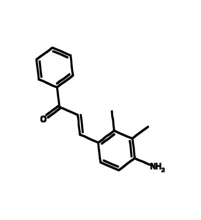 Cc1c(N)ccc(C=CC(=O)c2ccccc2)c1C